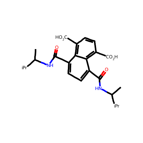 CC(C)C(C)NC(=O)c1ccc(C(=O)NC(C)C(C)C)c2c(C(=O)O)ccc(C(=O)O)c12